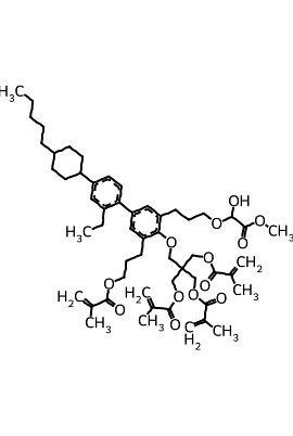 C=C(C)C(=O)OCCCc1cc(-c2ccc(C3CCC(CCCCC)CC3)cc2CC)cc(CCCOC(O)C(=O)OC)c1OCC(COC(=O)C(=C)C)(COC(=O)C(=C)C)COC(=O)C(=C)C